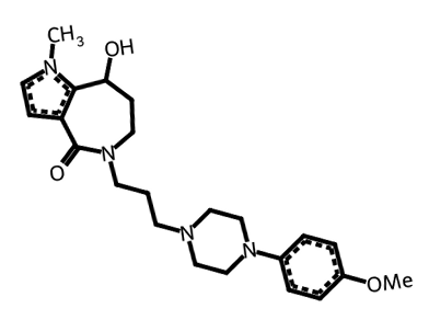 COc1ccc(N2CCN(CCCN3CCC(O)c4c(ccn4C)C3=O)CC2)cc1